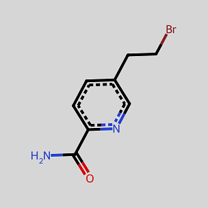 NC(=O)c1ccc(CCBr)cn1